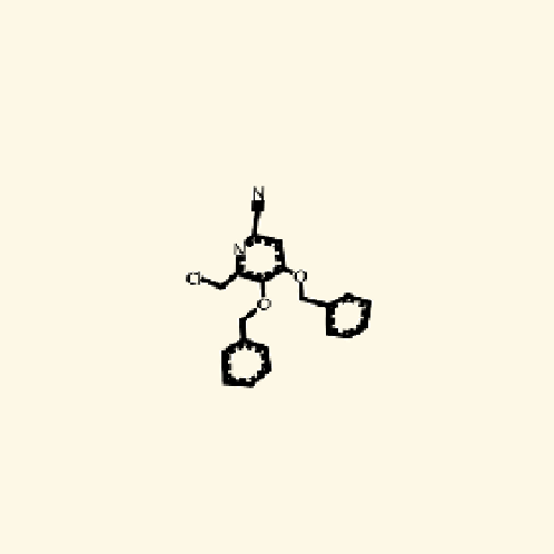 N#Cc1cc(OCc2ccccc2)c(OCc2ccccc2)c(CCl)n1